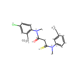 CCOC(=O)c1cc(Cl)ccc1N(C)C(=O)CC(=S)N(C)c1cccc(C(F)(F)F)c1